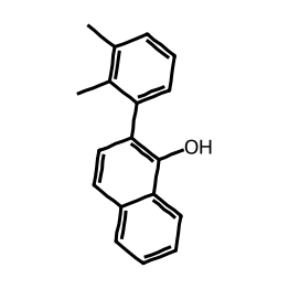 Cc1cccc(-c2ccc3ccccc3c2O)c1C